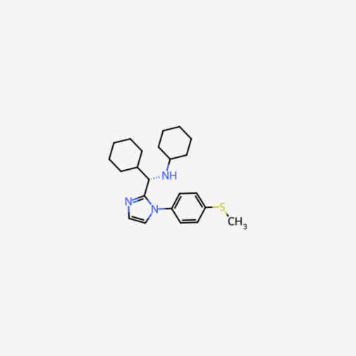 CSc1ccc(-n2ccnc2[C@@H](NC2CCCCC2)C2CCCCC2)cc1